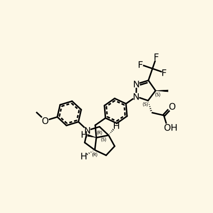 COc1cccc(N2C[C@H]3CC[C@@H](C2)[C@@H]3Cc2ccc(N3N=C(C(F)(F)F)[C@@H](C)[C@@H]3CC(=O)O)cc2)c1